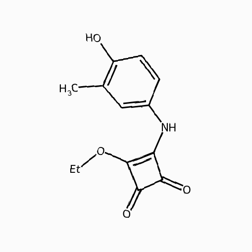 CCOc1c(Nc2ccc(O)c(C)c2)c(=O)c1=O